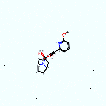 COc1cccc(C#CC2(O)CC3CCC(C2)N3C(=O)O)n1